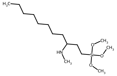 CCCCCCCCC(CC[Si](OC)(OC)OC)NC